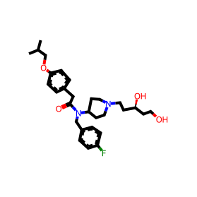 CC(C)COc1ccc(CC(=O)N(Cc2ccc(F)cc2)C2CCN(CC[C@@H](O)CCO)CC2)cc1